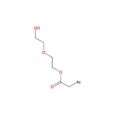 CC(=O)CC(=O)OCCOCCO